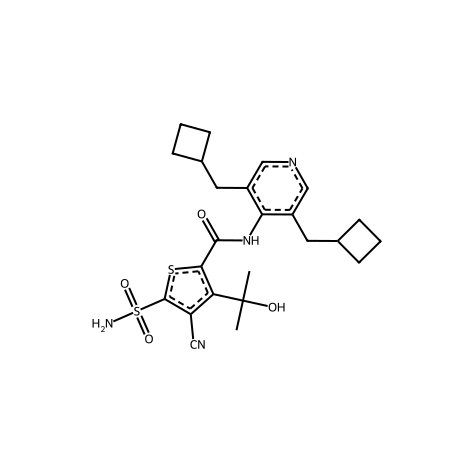 CC(C)(O)c1c(C(=O)Nc2c(CC3CCC3)cncc2CC2CCC2)sc(S(N)(=O)=O)c1C#N